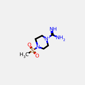 CS(=O)(=O)N1CC[N+](C(=N)N)CC1